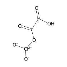 O=C(O)C(=O)O[Cl+2]([O-])[O-]